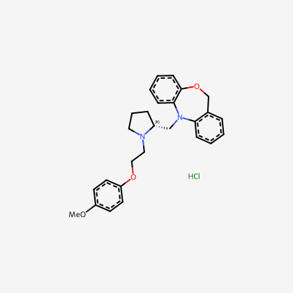 COc1ccc(OCCN2CCC[C@@H]2CN2c3ccccc3COc3ccccc32)cc1.Cl